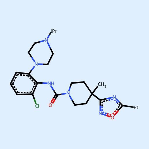 CCc1nc(C2(C)CCN(C(=O)Nc3c(Cl)cccc3N3CCN(C(C)C)CC3)CC2)no1